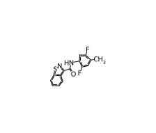 Cc1cc(F)c(NC(=O)c2nsc3ccccc23)cc1F